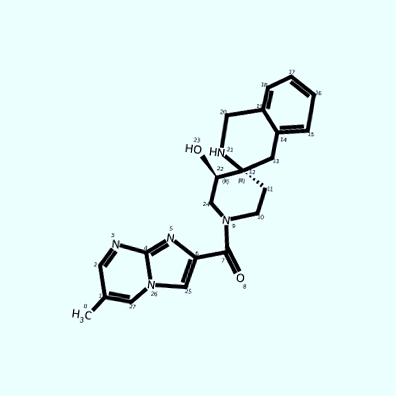 Cc1cnc2nc(C(=O)N3CC[C@]4(Cc5ccccc5CN4)[C@H](O)C3)cn2c1